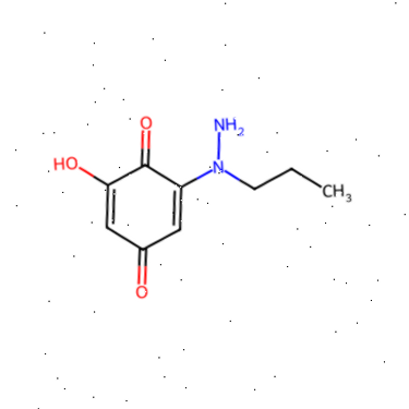 CCCN(N)C1=CC(=O)C=C(O)C1=O